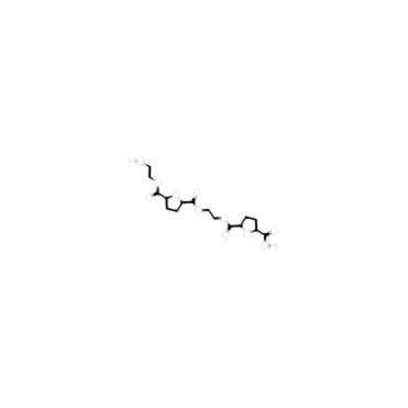 O=C(O)C1CCC(C(=O)OCCOC(=O)C2CCC(C(=O)OCCO)O2)O1